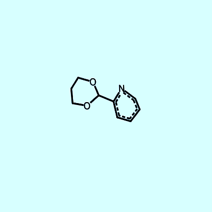 c1ccc(C2OCCCO2)nc1